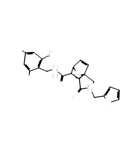 O=C(NCc1c(F)cc(F)cc1F)C1C2C=CC3(CN(Cc4cccs4)C(=O)C13)O2